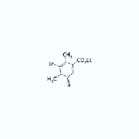 CCOC(=O)C1=CC(=S)C(C)C(Br)=C1C